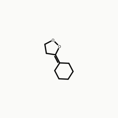 C1CCC(=C2CCOO2)CC1